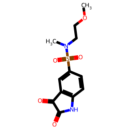 COCCN(C)S(=O)(=O)c1ccc2c(c1)C(=O)C(=O)N2